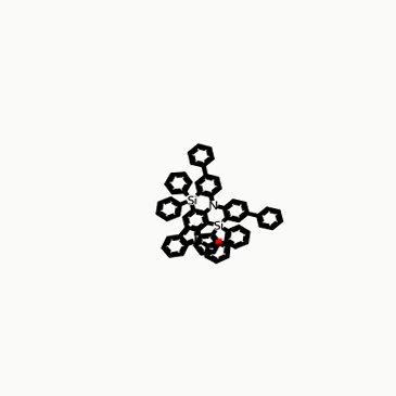 c1ccc(-c2ccc3c(c2)[Si](c2ccccc2)(c2ccccc2)c2cc4c5ccccc5n(-c5ccccc5)c4c4c2N3c2ccc(-c3ccccc3)cc2[Si]4(c2ccccc2)c2ccccc2)cc1